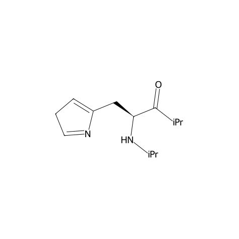 CC(C)N[C@@H](CC1=CCC=N1)C(=O)C(C)C